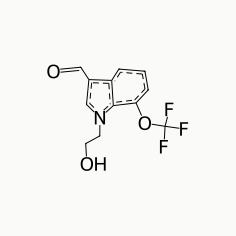 O=Cc1cn(CCO)c2c(OC(F)(F)F)cccc12